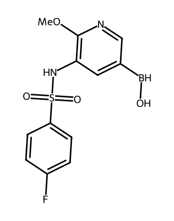 COc1ncc(BO)cc1NS(=O)(=O)c1ccc(F)cc1